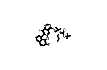 CCCN(C(=O)OC(C)(C)C)C1(C)CN(c2ncnc3c(F)c(-c4cccc5ccc(F)c(Cl)c45)ncc23)C1